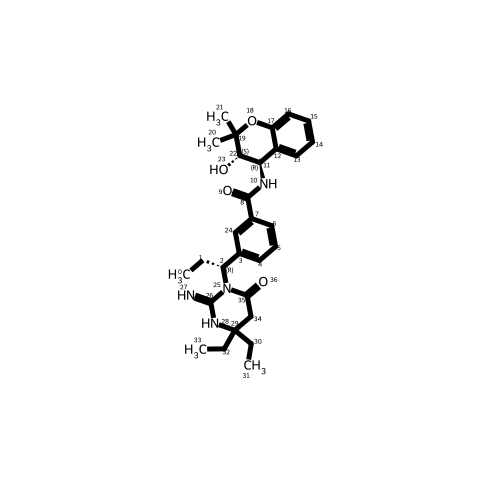 CC[C@H](c1cccc(C(=O)N[C@@H]2c3ccccc3OC(C)(C)[C@H]2O)c1)N1C(=N)NC(CC)(CC)CC1=O